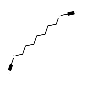 N#CNCCCCCCCNC#N